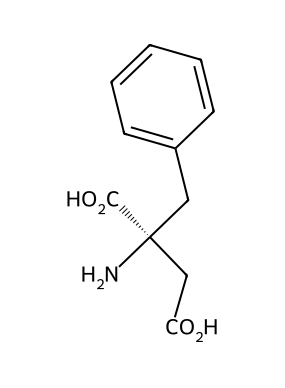 N[C@](CC(=O)O)(Cc1ccccc1)C(=O)O